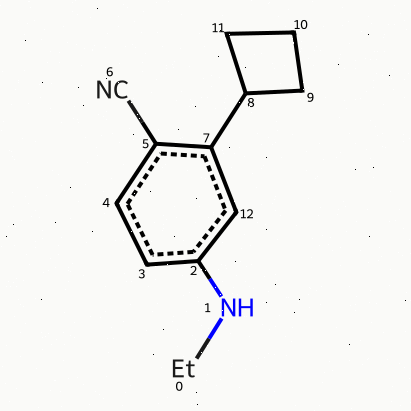 CCNc1ccc(C#N)c(C2CCC2)c1